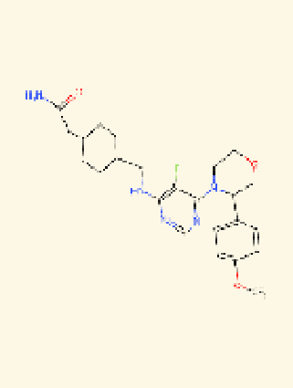 NC(=O)CC1CCC(CNc2ncnc(N3CCOCC3c3ccc(OC(F)(F)F)cc3)c2F)CC1